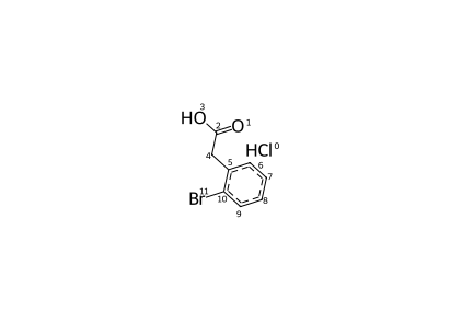 Cl.O=C(O)Cc1ccccc1Br